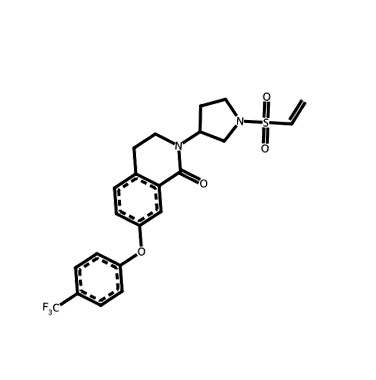 C=CS(=O)(=O)N1CCC(N2CCc3ccc(Oc4ccc(C(F)(F)F)cc4)cc3C2=O)C1